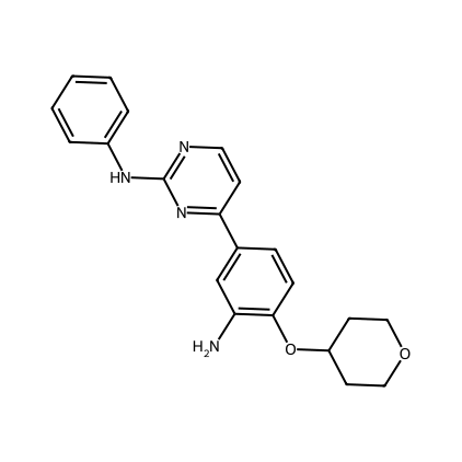 Nc1cc(-c2ccnc(Nc3ccccc3)n2)ccc1OC1CCOCC1